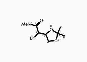 CNC(=O)C(Br)C1COC(C)(C)O1